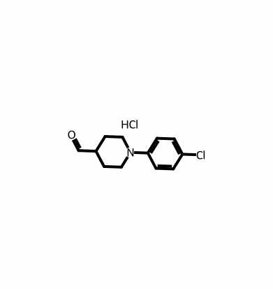 Cl.O=CC1CCN(c2ccc(Cl)cc2)CC1